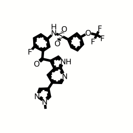 Cn1cc(-c2cnc3[nH]cc(C(=O)c4cc(NS(=O)(=O)c5cccc(OC(F)(F)F)c5)ccc4F)c3c2)cn1